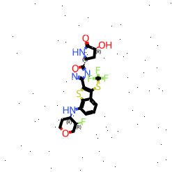 O=C1N[C@@H](c2nc(-c3sc4c(N[C@@H]5CCOC[C@@H]5F)cccc4c3SC(F)(F)F)no2)C[C@H]1O